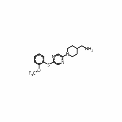 NCC1CCN(c2cnc(Sc3ccccc3OC(F)(F)F)cn2)CC1